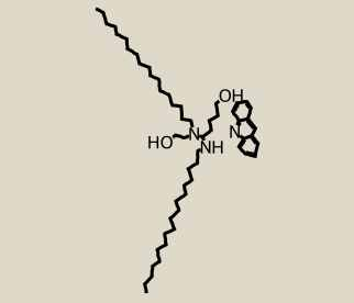 CCCCCCCCCCCCCCCCCCNC(CCCCO)N(CCO)CCCCCCCCCCCCCCCCCC.c1ccc2nc3ccccc3cc2c1